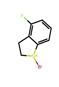 Fc1cccc2c1CC[SH]2Br